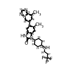 Cc1cc2c(cc1-c1cc(C)c3ncnn3c1)[nH]c(=O)n2C1CCC(NCCC(F)(F)F)CC1